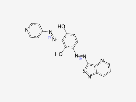 Oc1ccc(/N=N/c2snc3cccnc23)c(O)c1/N=N/c1ccncc1